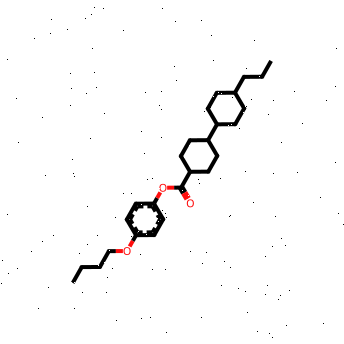 CCCCOc1ccc(OC(=O)C2CCC(C3CCC(CCC)CC3)CC2)cc1